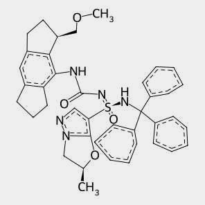 COC[C@@H]1CCc2cc3c(c(NC(=O)N=[S@@](=O)(NC(c4ccccc4)(c4ccccc4)c4ccccc4)c4cnn5c4O[C@@H](C)C5)c21)CCC3